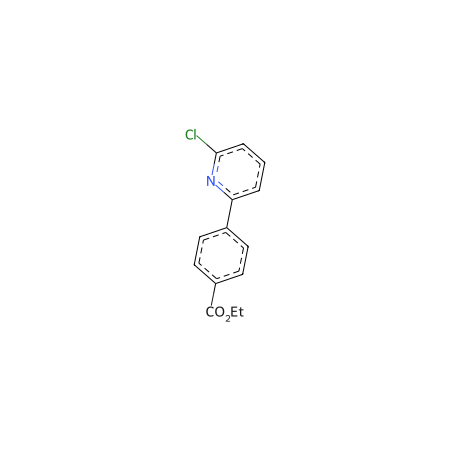 CCOC(=O)c1ccc(-c2cccc(Cl)n2)cc1